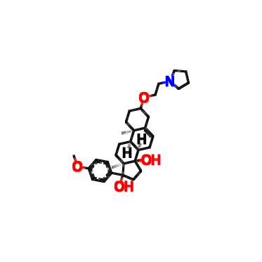 COc1ccc(C2(O)CC[C@@]3(O)[C@@H]4CC=C5CC(OCCN6CCCC6)CC[C@]5(C)[C@@H]4CC[C@]23C)cc1